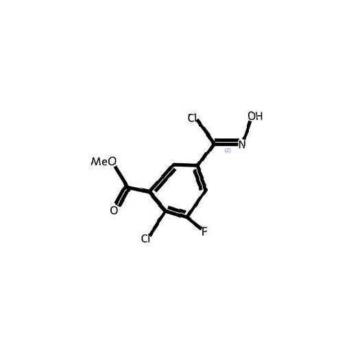 COC(=O)c1cc(/C(Cl)=N/O)cc(F)c1Cl